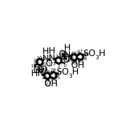 Cc1ccc(NC(=O)Nc2ccc(C)c(S(=O)(=O)Nc3cc(O)c4ccc(S(=O)(=O)O)cc4c3)c2)cc1S(=O)(=O)Nc1cc(O)c2ccc(S(=O)(=O)O)cc2c1